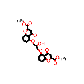 CCCOC(=O)c1cc(=O)c2c(OCC(O)COc3cccc4oc(C(=O)OCCC)cc(=O)c34)cccc2o1